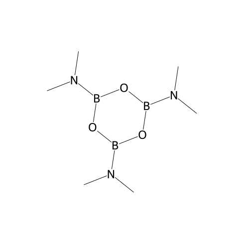 CN(C)B1OB(N(C)C)OB(N(C)C)O1